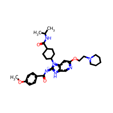 COc1ccc(C(=O)/N=c2\[nH]c3cnc(OCCN4CCCCC4)cc3n2C2CCC(C(=O)NC(C)C)CC2)cc1